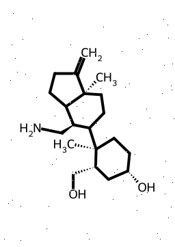 C=C1CCC2[C@H](CN)C([C@@]3(C)CC[C@H](O)C[C@@H]3CO)CC[C@]12C